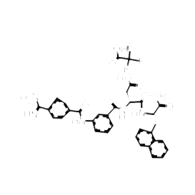 N=C(N)c1ccc(C(=O)Nc2cccc(C(=O)N[C@@H](CC(=O)O)C(=O)N[C@@H](Cc3cccc4ccccc34)C(=O)O)c2)cc1.O=C(O)C(F)(F)F